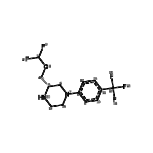 FC(F)OC[C@@H]1CN(c2ccc(C(F)(F)F)cc2)CCN1